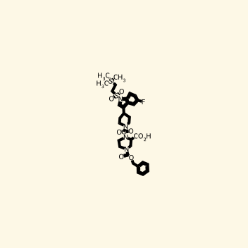 C[Si](C)(C)CCS(=O)(=O)n1cc(C2CCN(S(=O)(=O)N3CCN(C(=O)OCc4ccccc4)CC3C(=O)O)CC2)c2cc(F)ccc21